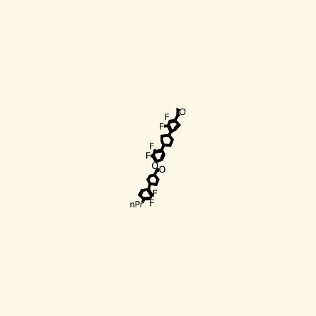 CCCc1ccc(C2CCC(C(=O)Oc3ccc(C4CCC(c5ccc(C6CO6)c(F)c5F)CC4)c(F)c3F)CC2)c(F)c1F